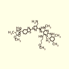 CNc1nc(Nc2c(C)cc(C)cc2C)nc(NCCCOC)c1N=Nc1nn(-c2nc3cc(S(=O)(=O)NC(C)C(=O)OC)ccc3s2)cc1CN